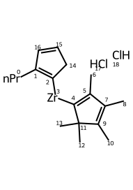 CCCC1=[C]([Zr][C]2=C(C)C(C)=C(C)C2(C)C)CC=C1.Cl.Cl